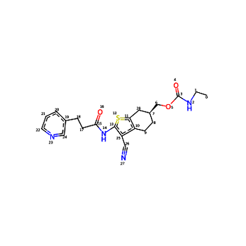 CCNC(=O)OC[C@H]1CCc2c(sc(NC(=O)CCc3cccnc3)c2C#N)C1